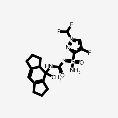 CC1(NC(=O)N=S(N)(=O)c2nn(C(F)F)cc2F)C2=C(C=C3CCCC31)CCC2